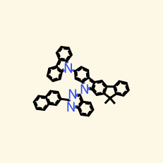 CC1(C)c2ccccc2-c2cc3c4ccc(-n5c6ccccc6c6ccccc65)cc4n(-c4nc(-c5ccc6ccccc6c5)nc5ccccc45)c3cc21